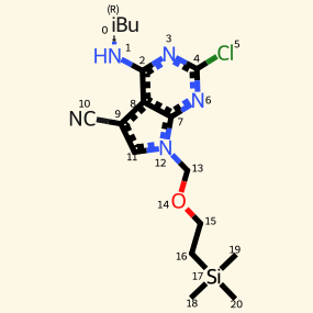 CC[C@@H](C)Nc1nc(Cl)nc2c1c(C#N)cn2COCC[Si](C)(C)C